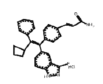 Cl.NC(=O)C=Cc1ccc(/C(=C(\c2ccccc2)C2CCC2)c2ccc3[nH]nc(F)c3c2)cc1